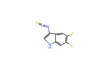 Fc1cc2[nH]cc(N=C=S)c2cc1F